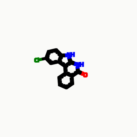 O=c1[nH]c2[nH]c3ccc(Cl)cc3c2c2ccccc12